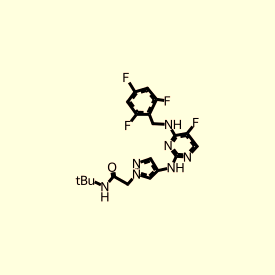 CC(C)(C)NC(=O)Cn1cc(Nc2ncc(F)c(NCc3c(F)cc(F)cc3F)n2)cn1